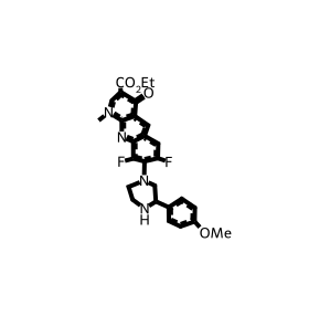 CCOC(=O)c1cn(C)c2nc3c(F)c(N4CCNC(c5ccc(OC)cc5)C4)c(F)cc3cc2c1=O